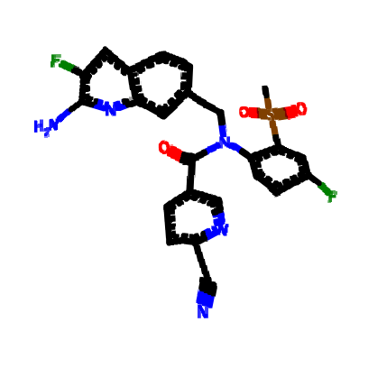 CS(=O)(=O)c1cc(F)ccc1N(Cc1ccc2cc(F)c(N)nc2c1)C(=O)c1ccc(C#N)nc1